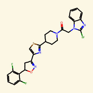 O=C(Cn1c(Br)nc2ccccc21)N1CCC(c2nc(C3=NOC(c4c(F)cccc4F)C3)cs2)CC1